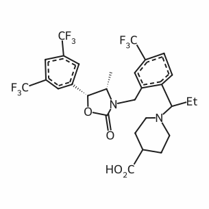 CCC(c1ccc(C(F)(F)F)cc1CN1C(=O)O[C@H](c2cc(C(F)(F)F)cc(C(F)(F)F)c2)[C@@H]1C)N1CCC(C(=O)O)CC1